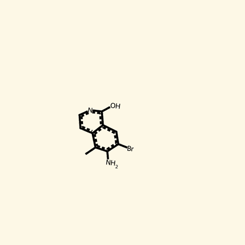 Cc1c(N)c(Br)cc2c(O)nccc12